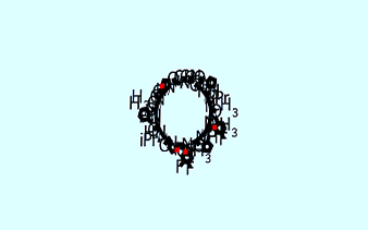 CC(C)C[C@@H]1NC(=O)[C@H](CC2CCCCC2)NC(=O)[C@H](C)N(C)C(=O)[C@@H]2CCCN2C(=O)[C@H](C)N(C)C(=O)C[C@@H](C(=O)N2CCCC2)NC(=O)[C@H](C(C)C)N(C)C(=O)[C@H](Cc2ccc(F)cc2)N(C)C(=O)[C@H](CC2CCCC2)NC(=O)[C@H](Cc2ccc(F)c(F)c2)N(C)C(=O)[C@@H]2CCCN2C1=O